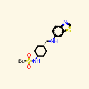 CCC(C)S(=O)(=O)N[C@H]1CC[C@H](CNc2ccc3ncsc3c2)CC1